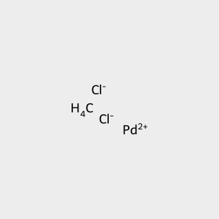 C.[Cl-].[Cl-].[Pd+2]